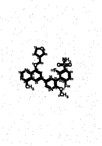 COc1ncc(-c2cc(OCC3CCOC3)c3ncnc(C)c3c2)cc1-c1c(F)ccc(S(N)(=O)=O)c1F